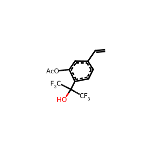 C=Cc1ccc(C(O)(C(F)(F)F)C(F)(F)F)c(OC(C)=O)c1